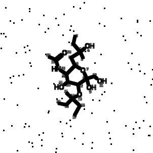 CCC(C)(O)CC1OC(O)(CO)C(OC(C)(CC)CC)C(O)C1NC(C)=O